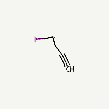 C#C[CH]I